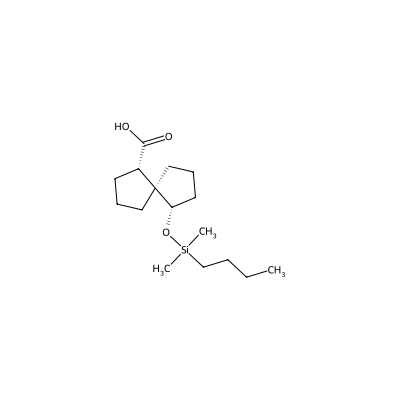 CCCC[Si](C)(C)O[C@H]1CCC[C@@]12CCC[C@@H]2C(=O)O